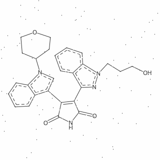 O=C1NC(=O)C(c2nn(CCCO)c3ccccc23)=C1c1cn(C2CCOCC2)c2ccccc12